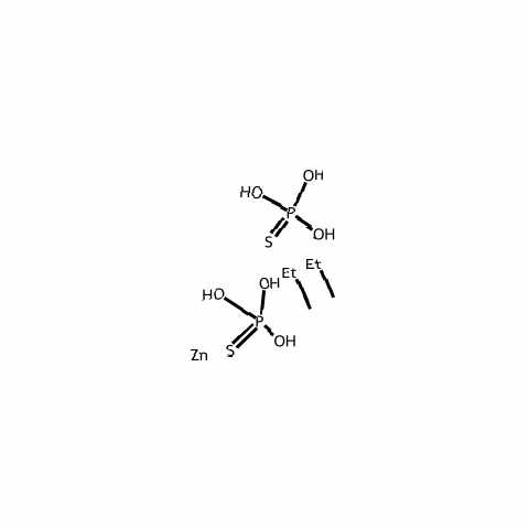 CCC.CCC.OP(O)(O)=S.OP(O)(O)=S.[Zn]